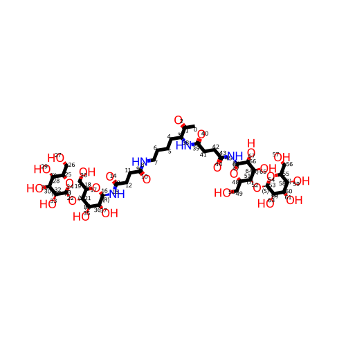 CC(=O)C(CCCCNC(=O)CCC(=O)N[C@@H]1OC(CO)[C@@H](O[C@@H]2OC(CO)[C@H](O)C(O)[C@@H]2O)[C@H](O)C1O)NC(=O)CCC(=O)N[C@@H]1OC(CO)[C@@H](O[C@@H]2OC(CO)[C@H](O)C(O)[C@@H]2O)[C@H](O)C1O